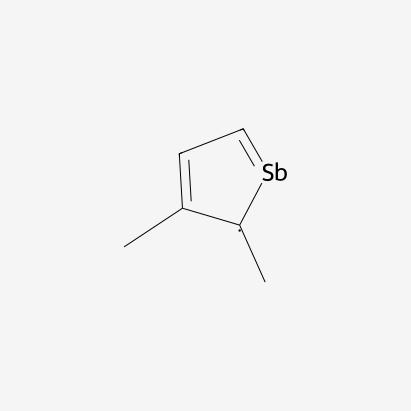 C[C]1[Sb]=[CH]C=C1C